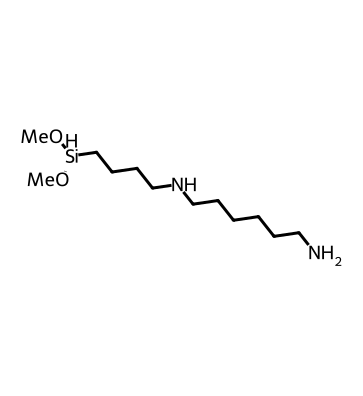 CO[SiH](CCCCNCCCCCCN)OC